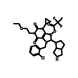 CCOCCn1c(=O)c2c(n(C3CC3)c1=O)N(OC(=O)C(F)(F)F)C(N1CCC3CNCC31)N2Cc1ccccc1Cl